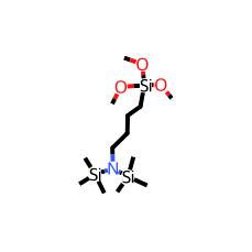 CO[Si](CCCCN([Si](C)(C)C)[Si](C)(C)C)(OC)OC